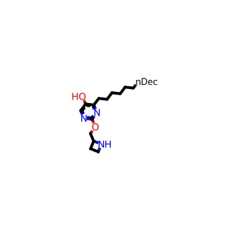 CCCCCCCCCCCCCCCCc1nc(OCC2CCN2)ncc1O